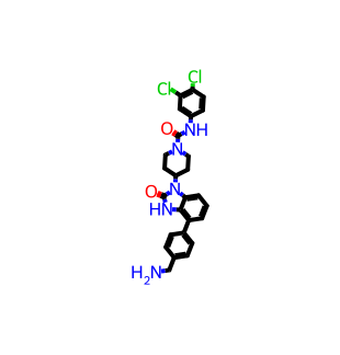 NCc1ccc(-c2cccc3c2[nH]c(=O)n3C2CCN(C(=O)Nc3ccc(Cl)c(Cl)c3)CC2)cc1